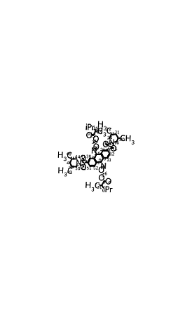 CC(C)C(C)C(=O)OCON=C1c2ccc(S(=O)(=O)N3C[C@H](C)C[C@H](C)C3)cc2C(=NOCOC(=O)C(C)C(C)C)c2cc(S(=O)(=O)N3C[C@H](C)C[C@H](C)C3)ccc21